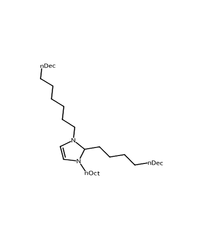 CCCCCCCCCCCCCCCCN1C=CN(CCCCCCCC)C1CCCCCCCCCCCCCC